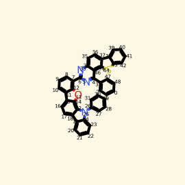 c1ccc(-c2nc(-c3cccc4c3oc3c4ccc4c5ccccc5n(-c5ccccc5)c43)nc3ccc4c5ccccc5sc4c23)cc1